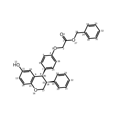 O=C(COc1ccc([C@@H]2c3cc(O)ccc3OC[C@@H]2c2ccccc2)cc1)OCc1ccccc1